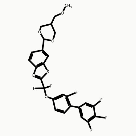 COCC1COC(c2ccc3nc(C(F)(F)Oc4ccc(-c5cc(F)c(F)c(F)c5)c(F)c4)sc3c2)OC1